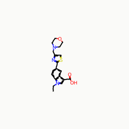 CCn1cc(C(=O)O)c2cc(-c3nc(CN4CCOCC4)cs3)ccc21